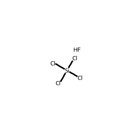 Cl[Si](Cl)(Cl)Cl.F